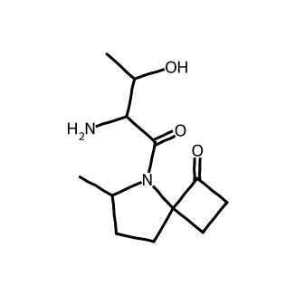 CC(O)C(N)C(=O)N1C(C)CCC12CCC2=O